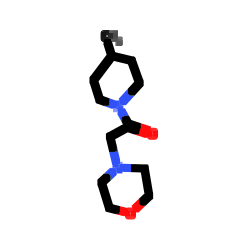 CC1CCN(C(=O)CN2CCOCC2)CC1